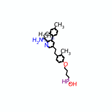 C=c1cc(C)cc/c1=c1\cc(CCc2ccc(OCCCCPO)cc2C)cn\c1=C(\C)N